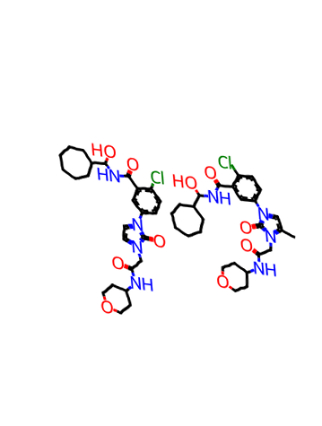 Cc1cn(-c2ccc(Cl)c(C(=O)NC(O)C3CCCCCC3)c2)c(=O)n1CC(=O)NC1CCOCC1.O=C(Cn1ccn(-c2ccc(Cl)c(C(=O)NC(O)C3CCCCCC3)c2)c1=O)NC1CCOCC1